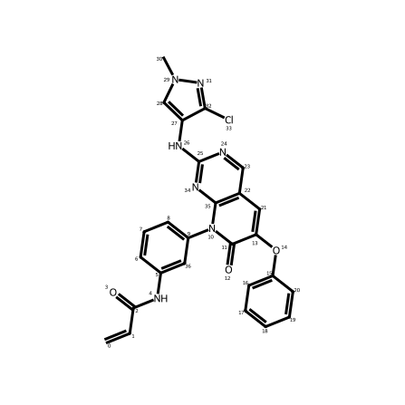 C=CC(=O)Nc1cccc(-n2c(=O)c(Oc3ccccc3)cc3cnc(Nc4cn(C)nc4Cl)nc32)c1